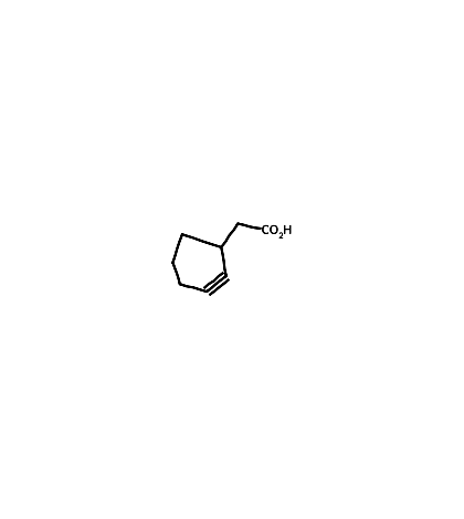 O=C(O)CC1C#CCCC1